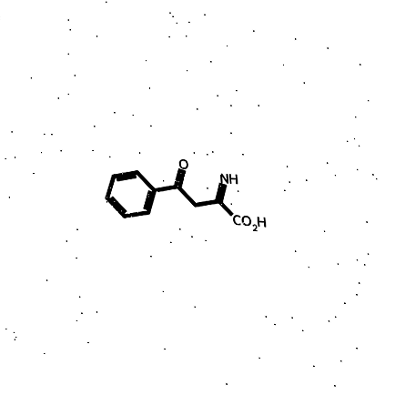 N=C(CC(=O)c1ccccc1)C(=O)O